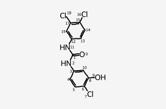 O=C(Nc1ccc(Cl)c(O)c1)Nc1ccc(Cl)c(Cl)c1